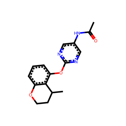 CC(=O)Nc1cnc(Oc2cccc3c2C(C)CCO3)nc1